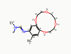 CCN(C)/C=N/c1cc2c(cc1C#N)OCCOCCOCCO2